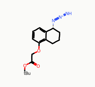 CC(C)(C)OC(=O)COc1cccc2c1CCC[C@H]2N=[N+]=N